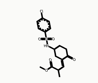 COC(=O)C(C)C=C1CC(NS(=O)(=O)c2ccc(Cl)cc2)CCC1=O